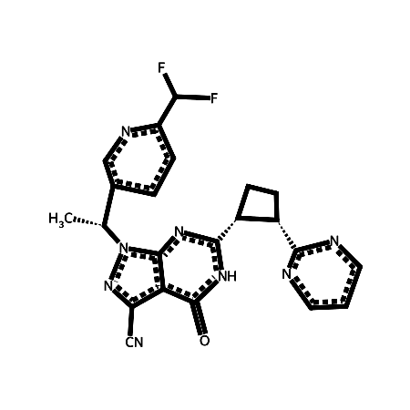 C[C@H](c1ccc(C(F)F)nc1)n1nc(C#N)c2c(=O)[nH]c([C@@H]3CC[C@@H]3c3ncccn3)nc21